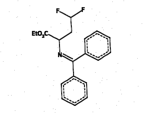 CCOC(=O)C(CC(F)F)N=C(c1ccccc1)c1ccccc1